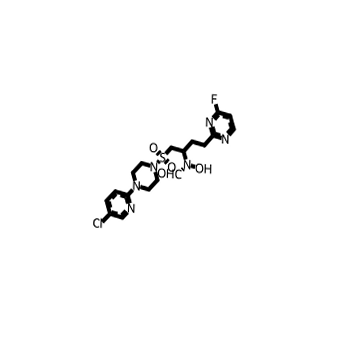 O=CN(O)C(CCc1nccc(F)n1)CS(=O)(=O)N1CCN(c2ccc(Cl)cn2)CC1